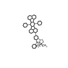 CC1(C)CCC2c3cc(-c4ccc5c6c(-c7ccccc7)c7c8cccc9cccc(c7c(-c7ccccc7)c6c6cccc4c65)c98)ccc3N(c3ccccc3)C21C